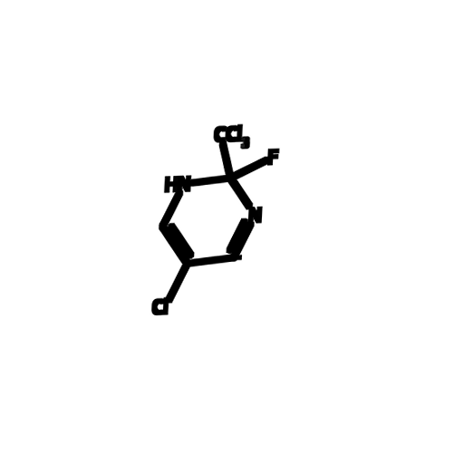 FC1(C(Cl)(Cl)Cl)N=[C]C(Cl)=CN1